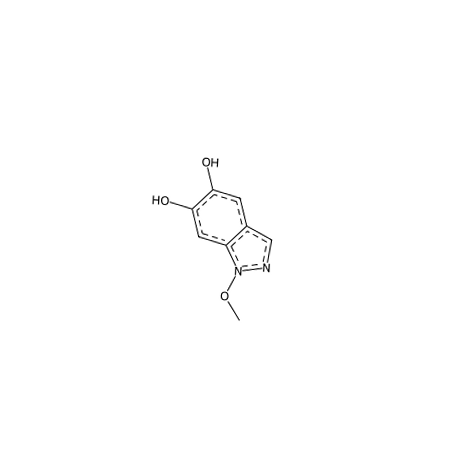 COn1ncc2cc(O)c(O)cc21